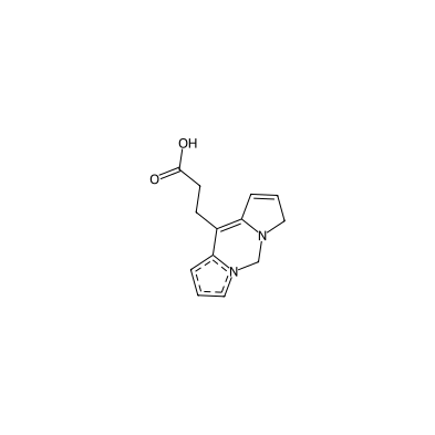 O=C(O)CCC1=C2C=CCN2Cn2cccc21